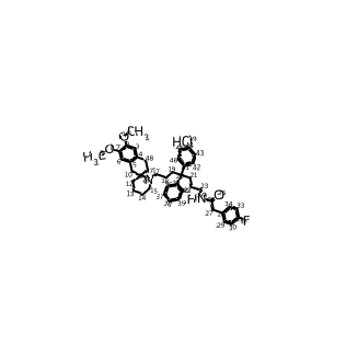 COc1cc2c(cc1OC)CC1(CCCCN1CCCC(CCCNC(=O)Cc1ccc(F)cc1)(c1ccccc1)c1ccccc1)CC2.Cl